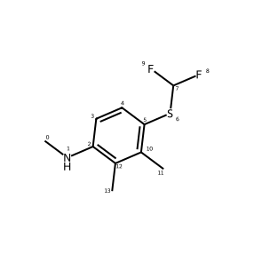 CNc1ccc(SC(F)F)c(C)c1C